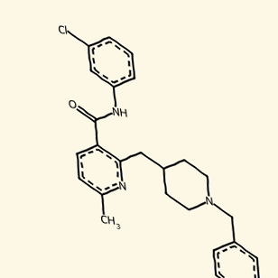 Cc1ccc(C(=O)Nc2cccc(Cl)c2)c(CC2CCN(Cc3ccccc3)CC2)n1